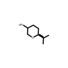 CCCC1CCC(=C(C)C)OC1